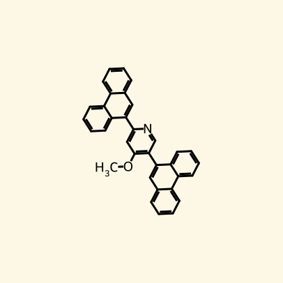 COc1cc(-c2cc3ccccc3c3ccccc23)ncc1-c1cc2ccccc2c2ccccc12